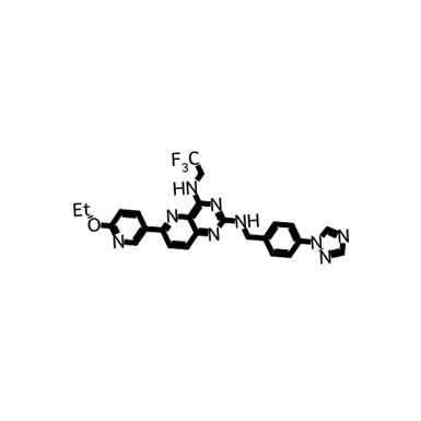 CCOc1ccc(-c2ccc3nc(NCc4ccc(-n5cncn5)cc4)nc(NCC(F)(F)F)c3n2)cn1